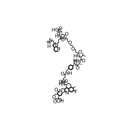 CC[C@@]1(O)C(=O)OCc2c1cc1n(c2=O)Cc2c-1nc1cc(F)c(C)c3c1c2[C@@H](NS(=O)(=O)CCC(=O)NCc1ccc(NC(=O)[C@H](C)NC(=O)[C@@H](NC(=O)CCOCCOCCNC(=O)[C@H](CS(=O)(=O)O)NC(=O)CCn2c(CN(C)NC)cc4cccnc42)C(C)C)cc1)CC3